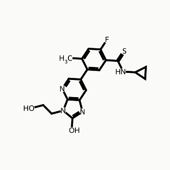 Cc1cc(F)c(C(=S)NC2CC2)cc1-c1cnc2c(c1)nc(O)n2CCO